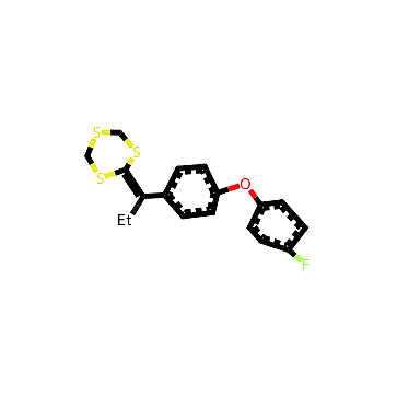 CCC(=C1SCSCS1)c1ccc(Oc2ccc(F)cc2)cc1